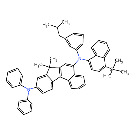 CC(C)Cc1cccc(N(c2ccc([Si](C)(C)C)c3ccccc23)c2cc3c(c4ccccc24)-c2ccc(N(c4ccccc4)c4ccccc4)cc2C3(C)C)c1